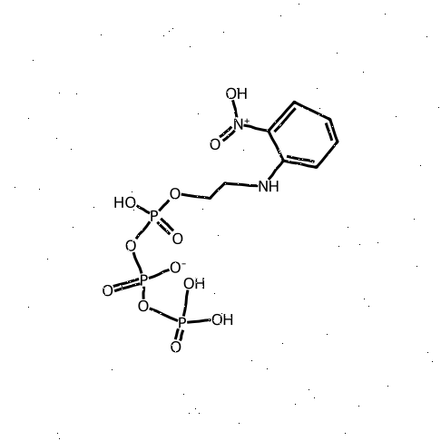 O=[N+](O)c1ccccc1NCCOP(=O)(O)OP(=O)([O-])OP(=O)(O)O